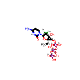 C=C[C@]12O[C@@H](n3ccc(N)nc3=O)C(F)(F)[C@@]1(O)C2OP(=O)(O)OP(=O)(O)OP(=O)(O)O